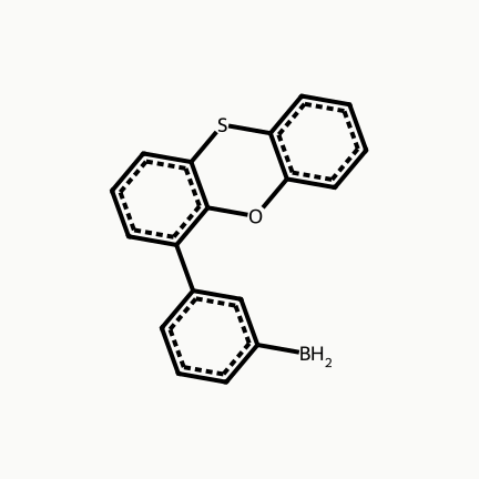 Bc1cccc(-c2cccc3c2Oc2ccccc2S3)c1